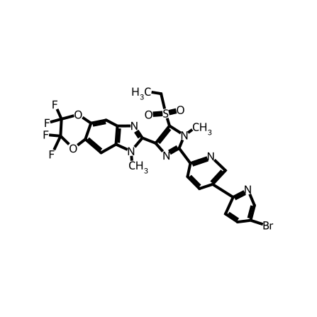 CCS(=O)(=O)c1c(-c2nc3cc4c(cc3n2C)OC(F)(F)C(F)(F)O4)nc(-c2ccc(-c3ccc(Br)cn3)cn2)n1C